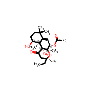 CC[C@@]1(C)CC(=O)[C@]2(O)[C@](C)(O1)[C@@H](OC(C)=O)C=C1C(C)(C)CC[C@H](O)[C@@]12C